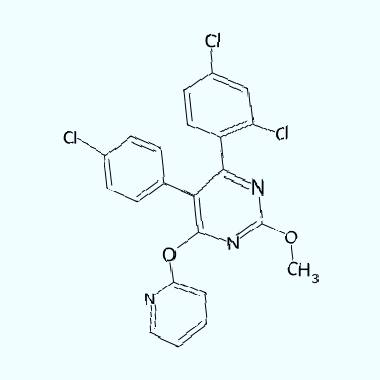 COc1nc(Oc2ccccn2)c(-c2ccc(Cl)cc2)c(-c2ccc(Cl)cc2Cl)n1